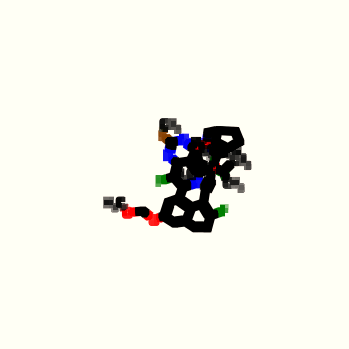 COCOc1cc(-c2nc(C(F)F)c3c(N4CC5CCC(C5)C4)nc(SC)nc3c2F)c2c(C#C[Si](C(C)C)(C(C)C)C(C)C)c(F)ccc2c1